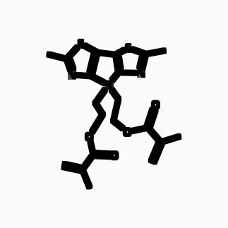 C=C(C)C(=O)OCC[Si]1(CCOC(=O)C(=C)C)c2nc(C)sc2-c2sc(C)nc21